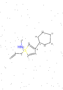 C=CCS1(NC)C=CC(C2CCCCC2)=C1